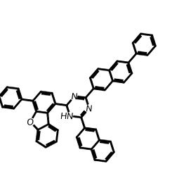 c1ccc(-c2ccc3cc(C4=NC(c5ccc(-c6ccccc6)c6oc7ccccc7c56)NC(c5ccc6ccccc6c5)=N4)ccc3c2)cc1